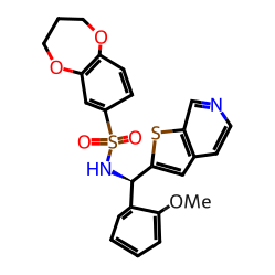 COc1ccccc1[C@@H](NS(=O)(=O)c1ccc2c(c1)OCCCO2)c1cc2ccncc2s1